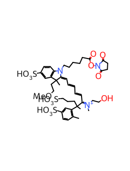 COCCC1(C)\C(=C/C=C/C=C/C(=[N+](/C)CCO)C(C)(CCCS(=O)(=O)O)c2cc(S(=O)(=O)O)ccc2C)N(CCCCCC(=O)ON2C(=O)CCC2=O)c2ccc(S(=O)(=O)O)cc21